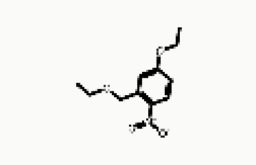 CCOCc1cc(OCC)ccc1[N+](=O)[O-]